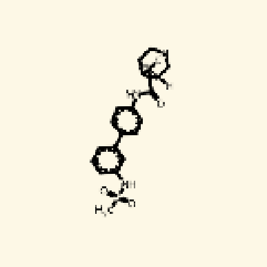 CS(=O)(=O)Nc1cccc(-c2ccc(NC(=O)[C@H]3CN4CCC3CC4)cc2)c1